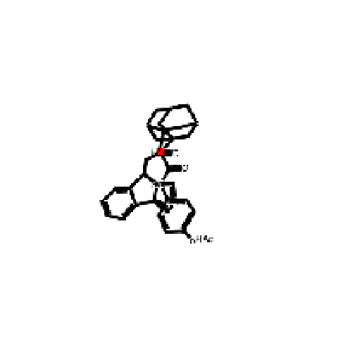 CC(=O)Nc1ccc(NC(=O)NC23CC4CC(C2)C(C(=O)CC2c5ccccc5-c5cncn52)C(C4)C3)cc1